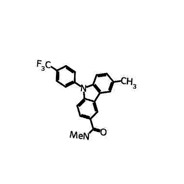 CNC(=O)c1ccc2c(c1)c1cc(C)ccc1n2-c1ccc(C(F)(F)F)cc1